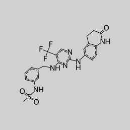 CS(=O)(=O)Nc1cccc(CNc2nc(Nc3ccc4c(c3)CCC(=O)N4)ncc2C(F)(F)F)c1